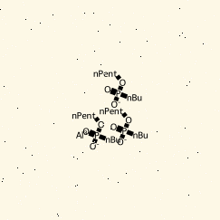 CCCCCOP(=O)([O-])CCCC.CCCCCOP(=O)([O-])CCCC.CCCCCOP(=O)([O-])CCCC.[Al+3]